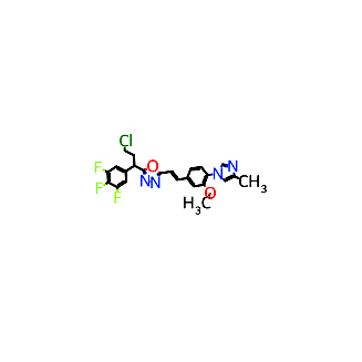 COc1cc(C=Cc2nnc(C(CCCl)c3cc(F)c(F)c(F)c3)o2)ccc1-n1cnc(C)c1